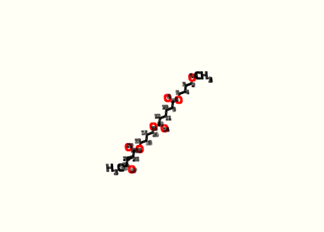 COCCCCOC(=O)CCCCC(=O)OCCCCOC(=O)/C=C/C(C)=O